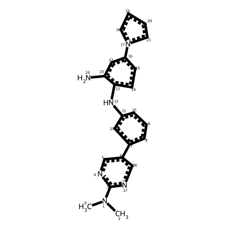 CN(C)c1ncc(-c2cccc(Nc3ccc(-n4cccc4)cc3N)c2)cn1